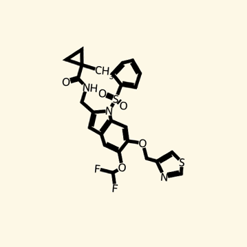 CC1(C(=O)NCc2cc3cc(OC(F)F)c(OCc4cscn4)cc3n2S(=O)(=O)c2ccccc2)CC1